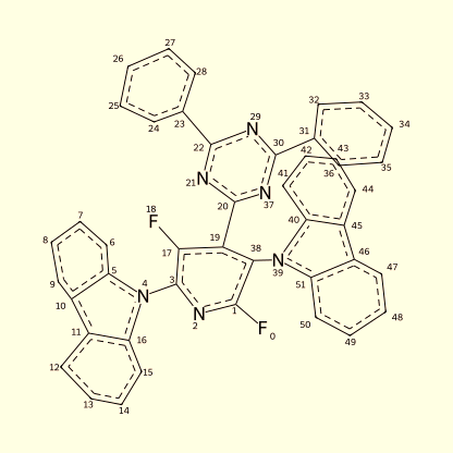 Fc1nc(-n2c3ccccc3c3ccccc32)c(F)c(-c2nc(-c3ccccc3)nc(-c3ccccc3)n2)c1-n1c2ccccc2c2ccccc21